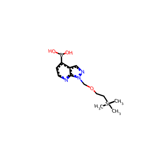 C[Si](C)(C)CCOCn1ncc2c(B(O)O)ccnc21